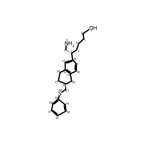 NC[C@H](CCCCO)c1ccc2c(c1)CC[C@H](CSc1ccccc1)C2